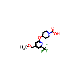 COCc1cc(OC2CCN(C(=O)O)CC2)nc(C(F)(F)F)c1